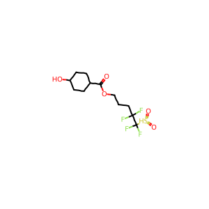 O=C(OCCCC(F)(F)C(F)(F)[SH](=O)=O)C1CCC(O)CC1